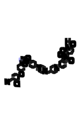 N#Cc1ccc(OC2CCC(/C=N\S(=O)(=O)c3ccc(N4CCN(CC5CCN(c6ccc7c(c6)C(=O)N(C6CCC(=O)NC6=O)C7=O)CC5)CC4)cc3)CC2)cc1Cl